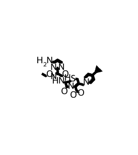 CCON=C(C(=O)NC1C(=O)N2C(C(=O)[O-])=C(C[n+]3ccc(C4CC4)cc3)CS[C@@H]12)c1nccc(N)n1